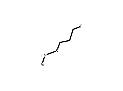 CC(=O)NSCCCF